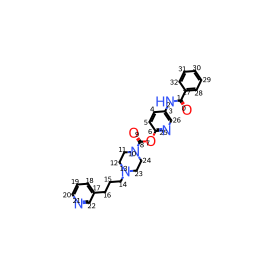 O=C(Nc1ccc(OC(=O)N2CCN(CCCc3cccnc3)CC2)nc1)c1ccccc1